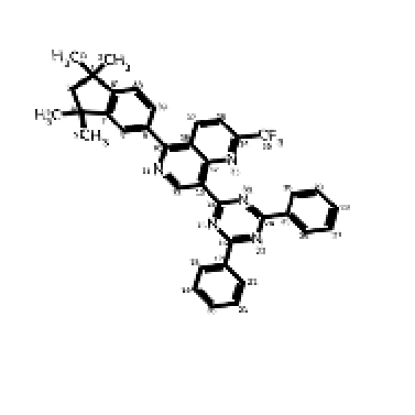 CC1(C)CC(C)(C)c2cc(-c3ncc(-c4nc(-c5ccccc5)nc(-c5ccccc5)n4)c4nc(C(F)(F)F)ccc34)ccc21